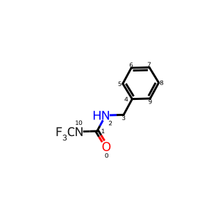 O=C(NCc1ccccc1)NC(F)(F)F